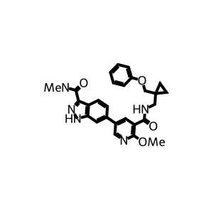 CNC(=O)c1n[nH]c2cc(-c3cnc(OC)c(C(=O)NCC4(COc5ccccc5)CC4)c3)ccc12